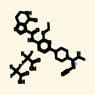 CCOc1nc(N2CCN(/C(=N\C#N)NC)CC2)ccc1NC(=O)c1coc2c1C(=O)NCC2.O=C(O)C(F)(F)F.O=C(O)C(F)(F)F